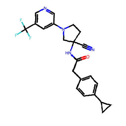 N#CC1(NC(=O)Cc2ccc(C3CC3)cc2)CCN(c2cncc(C(F)(F)F)c2)C1